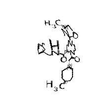 C[C@@H]1CCC[C@@H](CC(=O)N2CCN(C3=N[C@@H](C)CO3)C[C@H]2C(=O)NCc2cccs2)CC1